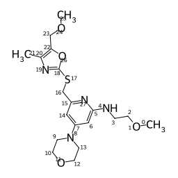 COCCNc1cc(N2CCOCC2)cc(CSc2nc(C)c(COC)o2)n1